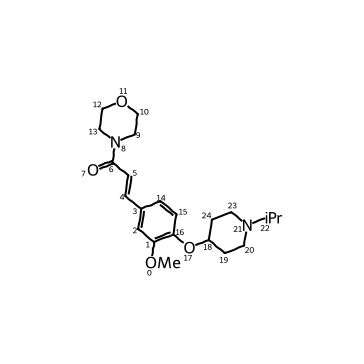 COc1cc(C=CC(=O)N2CCOCC2)ccc1OC1CCN(C(C)C)CC1